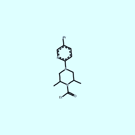 CCC(=O)N1C(C)CN(c2ccc(C(C)C)cn2)CC1C